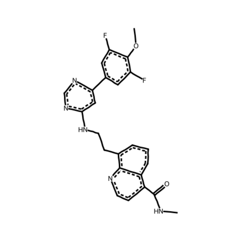 CNC(=O)c1ccnc2c(CCNc3cc(-c4cc(F)c(OC)c(F)c4)ncn3)cccc12